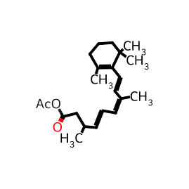 CC(=O)OC(=O)CC(C)/C=C/C=C(C)\C=C\C1=C(C)CCCC1(C)C